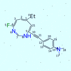 CCc1ccc(F)nc[nH]c(C#Cc2ccc(N(C)C)cc2)c1